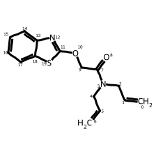 C=CCN(CC=C)C(=O)COc1nc2ccccc2s1